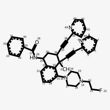 CC1(C#Cc2ccccn2)c2c(cccc2N2CCN(CCF)CC2)C(NC(=O)c2ccccc2)CC1C#Cc1ccccn1